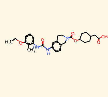 CCOc1cccc(NC(=O)Nc2ccc3c(c2)CCN(C(=O)OC2CCC(CC(=O)O)CC2)C3)c1C